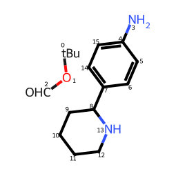 CC(C)(C)OC=O.Nc1ccc(C2CCCCN2)cc1